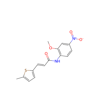 COc1cc([N+](=O)[O-])ccc1NC(=O)C=Cc1ccc(C)s1